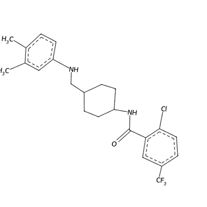 Cc1ccc(NCC2CCC(NC(=O)c3cc(C(F)(F)F)ccc3Cl)CC2)cc1C